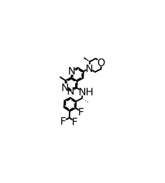 Cc1nnc(N[C@H](C)c2cccc(C(F)F)c2F)c2cc(N3CCOC[C@@H]3C)cnc12